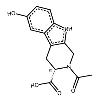 CC(=O)N1Cc2[nH]c3ccc(O)cc3c2C[C@H]1C(=O)O